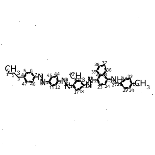 CCCCc1ccc(N=Nc2ccc(N=Nc3ccc(N=Nc4ccc(NCc5ccc(C)cc5)c5ccccc45)cc3C)cc2)cc1